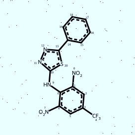 O=[N+]([O-])c1cc(C(F)(F)F)cc([N+](=O)[O-])c1Nc1nnc(-c2ccccc2)s1